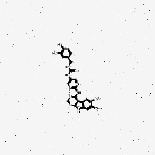 COc1cc2c(cc1OC)C1C(Nc3ncc(NC(=S)NCc4ccc(O)c(O)c4)cn3)=NC=NC1N2